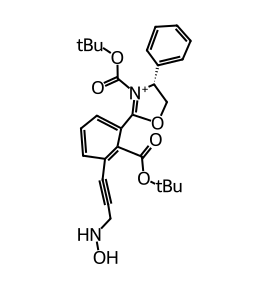 CC(C)(C)OC(=O)c1c(C#CCNO)cccc1C1=[N+](C(=O)OC(C)(C)C)[C@H](c2ccccc2)CO1